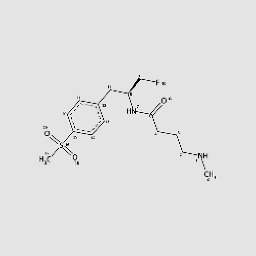 CNCCCC(=O)N[C@H](CF)Cc1ccc(S(C)(=O)=O)cc1